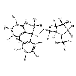 [2H]c1c([2H])c([2H])c([C@@](OCC([2H])([2H])[C@]2([2H])N(C([2H])([2H])[2H])C([2H])([2H])C([2H])([2H])C2([2H])[2H])(c2c([2H])c([2H])c(Cl)c([2H])c2[2H])C([2H])([2H])[2H])c([2H])c1[2H]